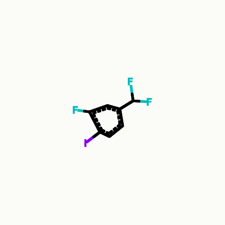 Fc1cc(C(F)F)ccc1I